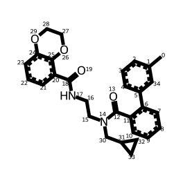 Cc1cccc(-c2ccccc2C(=O)N(CCNC(=O)c2cccc3c2OCCO3)CC2CC2)c1